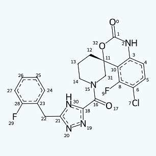 O=C1Nc2ccc(Cl)c(F)c2[C@@]2(CCCN(C(=O)c3nnc(Cc4ccccc4F)[nH]3)C2)O1